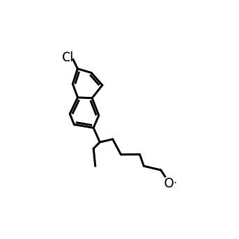 CCC(CCCCC[O])c1ccc2cc(Cl)ccc2c1